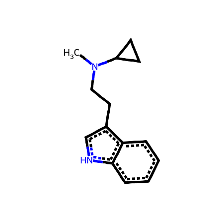 CN(CCc1c[nH]c2ccccc12)C1CC1